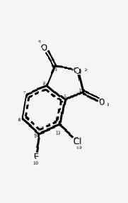 O=C1OC(=O)c2c1ccc(F)c2Cl